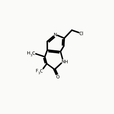 Cc1c(C(F)(F)F)c(=O)[nH]c2cc(CCl)ncc12